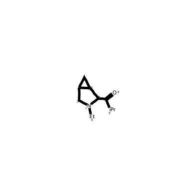 CCN1CC2CC2C1C(=O)C(C)C